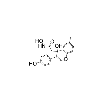 Cc1ccc2c(c1)C(O)(CC(=O)NO)C(c1ccc(O)cc1)=CO2